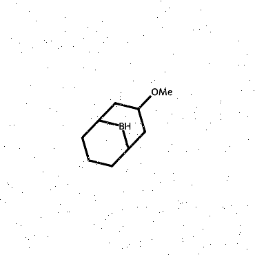 COC1CC2BC(CCC2)C1